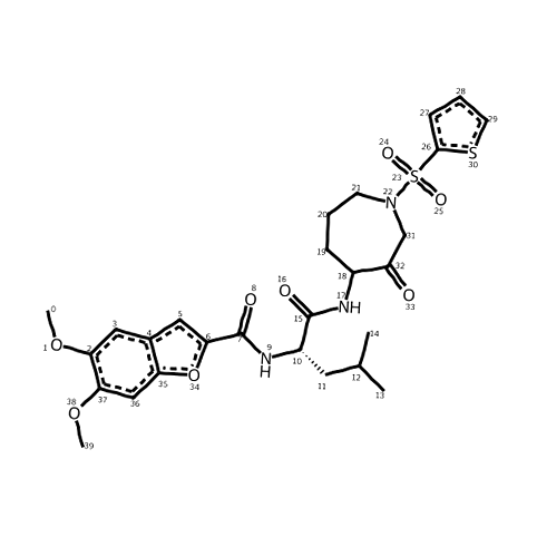 COc1cc2cc(C(=O)N[C@@H](CC(C)C)C(=O)NC3CCCN(S(=O)(=O)c4cccs4)CC3=O)oc2cc1OC